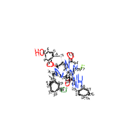 O=C1[C@H](Cc2ccc(O)cc2)N2C(=O)CN(CF)N(C(=O)NCc3ccccc3)[C@H]2CN1Cc1cccc(Cl)c1